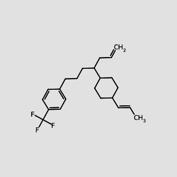 C=CCC(CCCc1ccc(C(F)(F)F)cc1)C1CCC(/C=C/C)CC1